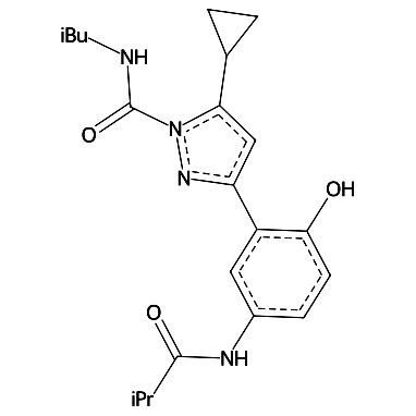 CCC(C)NC(=O)n1nc(-c2cc(NC(=O)C(C)C)ccc2O)cc1C1CC1